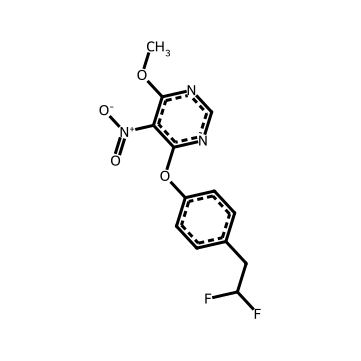 COc1ncnc(Oc2ccc(CC(F)F)cc2)c1[N+](=O)[O-]